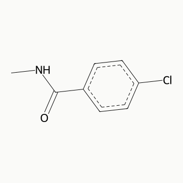 CNC(=O)c1ccc(Cl)cc1